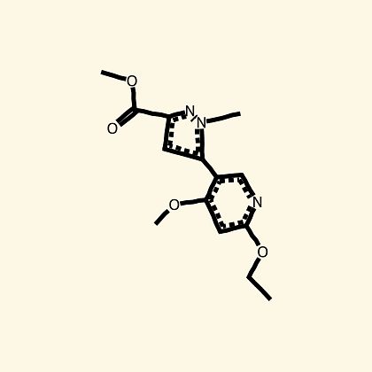 CCOc1cc(OC)c(-c2cc(C(=O)OC)nn2C)cn1